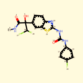 CCNC(=O)C(O)(c1ccc2nc(NC(=O)Nc3ccc(F)cc3)sc2c1)C(F)F